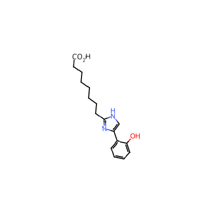 O=C(O)CCCCCCCc1nc(-c2ccccc2O)c[nH]1